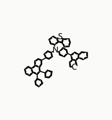 c1ccc(-c2c(-c3ccccc3)c3cc(-c4ccc(N(c5ccc(-c6cc7ccccc7c7ccccc67)cc5)c5cccc6sc7ccccc7c56)cc4)ccc3c3ccccc23)cc1